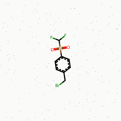 O=S(=O)(c1ccc(CBr)cc1)C(F)F